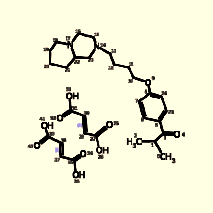 CC(C)C(=O)c1ccc(OCCCCN2CCN3CCCCC3C2)cc1.O=C(O)/C=C/C(=O)O.O=C(O)/C=C/C(=O)O